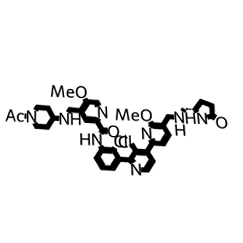 COc1cnc(C(=O)Nc2cccc(-c3nccc(-c4ccc(CNC[C@@H]5CCC(=O)N5)c(OC)n4)c3Cl)c2Cl)cc1CNC1CCN(C(C)=O)CC1